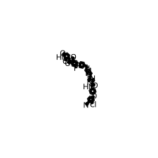 N#Cc1ccc(O[C@H]2CC[C@H](NC(=O)c3cnc(N4CC5CN(CC6CCN(c7cc8c(cc7F)C(=O)N(C7CCC(=O)NC7=O)C8=O)CC6)CC5C4)cn3)CC2)cc1Cl